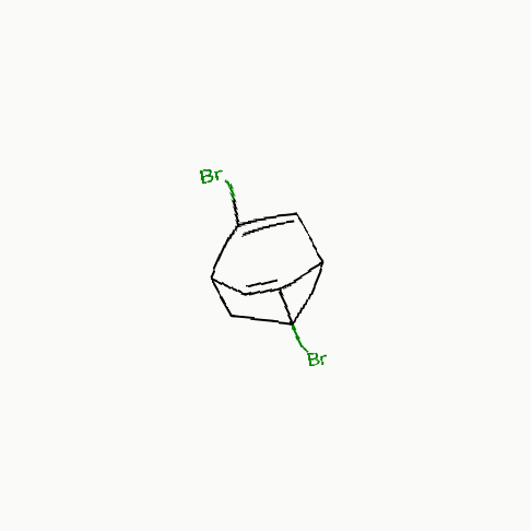 BrC1=CC2CCC1C=C2Br